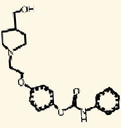 O=C(Nc1ccccc1)Oc1ccc(OCCN2CCC(CO)CC2)cc1